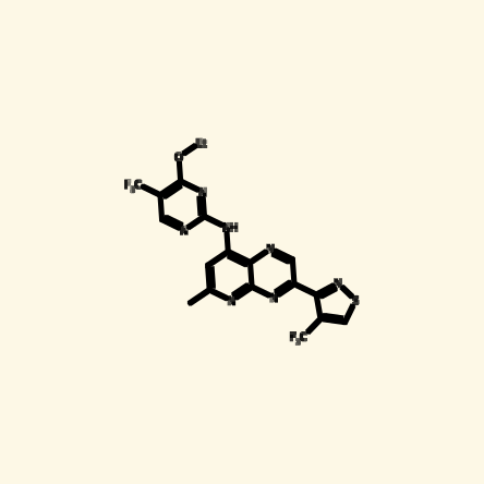 CCOc1nc(Nc2cc(C)nc3nc(-c4nscc4C(F)(F)F)cnc23)ncc1C(F)(F)F